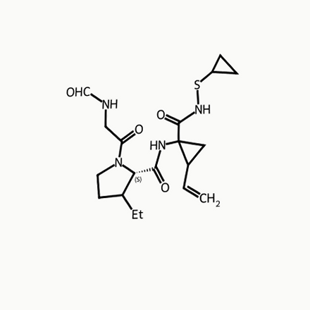 C=CC1CC1(NC(=O)[C@@H]1C(CC)CCN1C(=O)CNC=O)C(=O)NSC1CC1